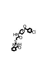 O=C(CCSc1nc2ccccc2c(=O)[nH]1)NC1CCN(C(=O)c2ccc(Cl)cc2)CC1